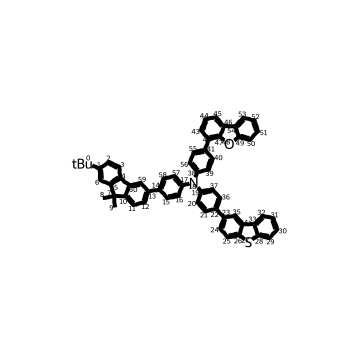 CC(C)(C)c1ccc2c(c1)C(C)(C)c1ccc(-c3ccc(N(c4ccc(-c5ccc6sc7ccccc7c6c5)cc4)c4ccc(-c5cccc6c5oc5ccccc56)cc4)cc3)cc1-2